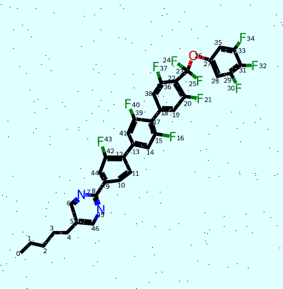 CCCCCc1cnc(-c2ccc(-c3cc(F)c(-c4cc(F)c(C(F)(F)Oc5cc(F)c(F)c(F)c5)c(F)c4)c(F)c3)c(F)c2)nc1